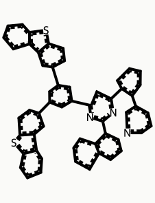 c1cncc(-c2ccccc2-c2cc(-c3cc(-c4ccc5sc6ccccc6c5c4)cc(-c4ccc5sc6ccccc6c5c4)c3)nc(-c3cccc4ccccc34)n2)c1